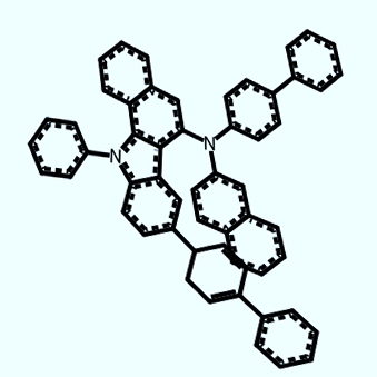 C1=CC(c2ccc3c(c2)c2c(N(c4ccc(-c5ccccc5)cc4)c4ccc5ccccc5c4)cc4ccccc4c2n3-c2ccccc2)CC=C1c1ccccc1